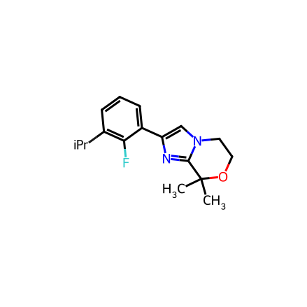 CC(C)c1cccc(-c2cn3c(n2)C(C)(C)OCC3)c1F